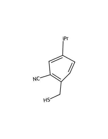 CC(C)c1ccc(CS)c(C#N)c1